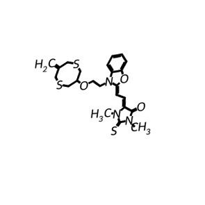 C=C1CSCC(OCCN2/C(=C/C=C3/C(=O)N(C)C(=S)N3C)Oc3ccccc32)CSC1